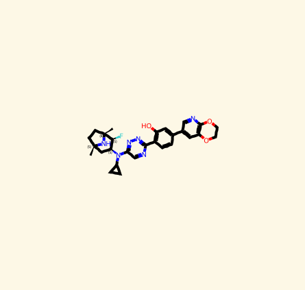 C[C@@]12CC[C@@](C)(N1)[C@@H](F)[C@@H](N(c1cnc(-c3ccc(-c4cnc5c(c4)OCCO5)cc3O)nn1)C1CC1)C2